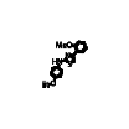 CCOc1ccc(Nc2nc(-c3ccccc3OC)cs2)cc1